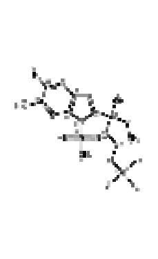 CCC(O)(CSCC(F)(F)F)c1cc2cc(F)c(C)cc2n1S(C)(=O)=O